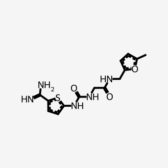 Cc1ccc(CNC(=O)CNC(=O)Nc2ccc(C(=N)N)s2)o1